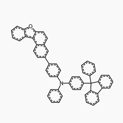 c1ccc(N(c2ccc(-c3ccc4c(ccc5oc6ccccc6c54)c3)cc2)c2ccc(C3(c4ccccc4)c4ccccc4-c4ccccc43)cc2)cc1